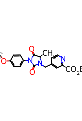 CCOC(=O)c1cc(CN2C(=O)N(c3ccc(OC(F)(F)F)cc3)C(=O)C2C)ccn1